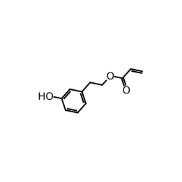 C=CC(=O)OCCc1cccc(O)c1